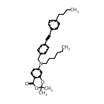 CCCCCCN(Cc1ccc(C#Cc2ccc(CCCC)cc2)cc1)c1ccc2c(c1)OC(C)(C)OC2=O